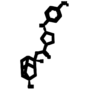 Nc1ccc(N[C@@H]2CCN(C(=O)O[C@H]3C4CC5CC3C[C@](O)(C5)C4)C2)cc1